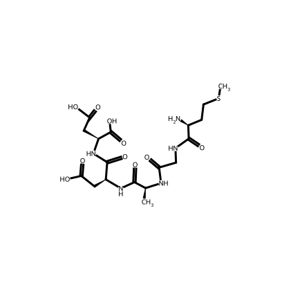 CSCC[C@H](N)C(=O)NCC(=O)N[C@@H](C)C(=O)N[C@@H](CC(=O)O)C(=O)N[C@@H](CC(=O)O)C(=O)O